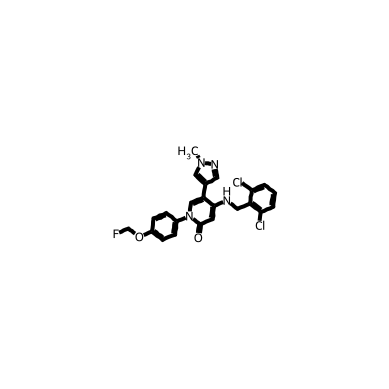 Cn1cc(-c2cn(-c3ccc(OCF)cc3)c(=O)cc2NCc2c(Cl)cccc2Cl)cn1